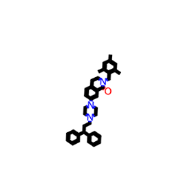 Cc1cc(C)c(CN2CCc3ccc(N4CCN(CCC(c5ccccc5)c5ccccc5)CC4)cc3C2=O)c(C)c1